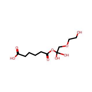 O=C(O)CCCCC(=O)OC(O)(O)COCCO